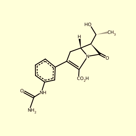 C[C@@H](O)[C@H]1C(=O)N2C(C(=O)O)=C(c3cccc(NC(N)=O)c3)C[C@H]12